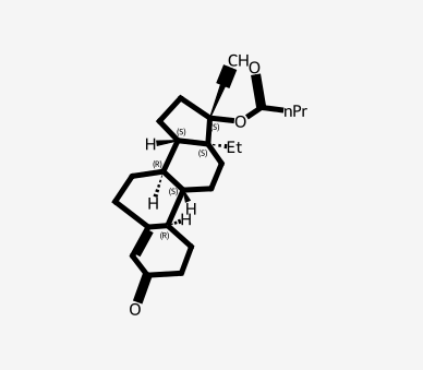 C#C[C@]1(OC(=O)CCC)CC[C@H]2[C@@H]3CCC4=CC(=O)CC[C@@H]4[C@H]3CC[C@@]21CC